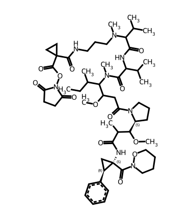 CCC(C)C(C(CC(=O)N1CCC[C@H]1C(OC)C(C)C(=O)N[C@@]1(C(=O)N2CCCCO2)C[C@@H]1c1ccccc1)OC)N(C)C(=O)C(NC(=O)C(C(C)C)N(C)CCCNC(=O)C1(C(=O)ON2C(=O)CCC2=O)CC1)C(C)C